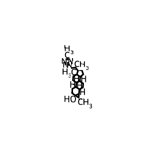 Cc1nnn(C[C@H](C)[C@H]2CC[C@H]3[C@@H]4CC[C@H]5C6C(C)[C@@]6(O)CC[C@@H]5[C@H]4CC[C@]23C)n1